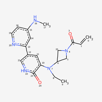 C=CC(=O)N1CC(N(CC)c2cc(-c3cc(NC)ccn3)c[nH]c2=O)C1